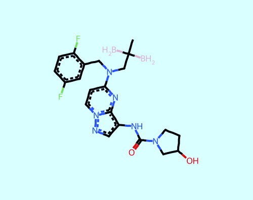 BC(B)(C)CN(Cc1cc(F)ccc1F)c1ccn2ncc(NC(=O)N3CCC(O)C3)c2n1